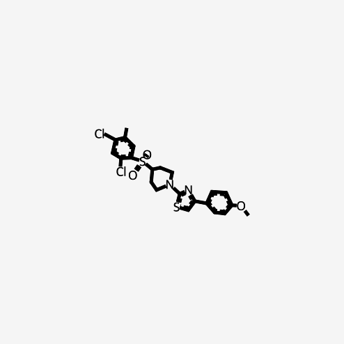 COc1ccc(-c2csc(N3CCC(S(=O)(=O)c4cc(C)c(Cl)cc4Cl)CC3)n2)cc1